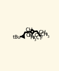 CC(C)(C)C1CC1CC(C)(C)C1CC(CC(C)(C)C(C)(C)F)C1